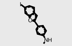 CNc1ccc(-c2cc3ccc(I)cc3o2)cc1